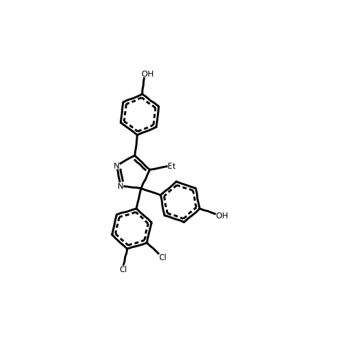 CCC1=C(c2ccc(O)cc2)N=NC1(c1ccc(O)cc1)c1ccc(Cl)c(Cl)c1